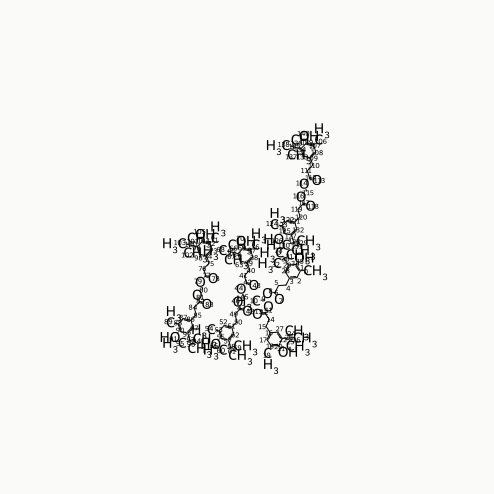 Cc1cc(CCC(=O)OC(C)OC(=O)CCc2cc(C)c(O)c(C(C)(C)C)c2)cc(C(C)(C)C)c1O.Cc1cc(CCC(=O)OCOC(=O)CCc2cc(C)c(O)c(C(C)(C)C)c2)cc(C(C)(C)C)c1O.Cc1cc(CCC(=O)OCOC(=O)CCc2cc(C)c(O)c(C(C)(C)C)c2)cc(C(C)(C)C)c1O.Cc1cc(CCC(=O)OCOC(=O)CCc2cc(C)c(O)c(C(C)(C)C)c2)cc(C(C)(C)C)c1O